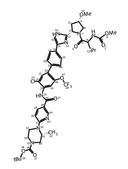 COC(=O)NC(C(=O)N1C[C@@H](OC)C[C@H]1c1nc(-c2ccc(-c3cc(Cl)c(NC(=O)c4ccc(N5CCN(C(=O)OC(C)(C)C)C[C@H]5C)nc4)cc3OC(F)(F)F)cc2)c[nH]1)C(C)C